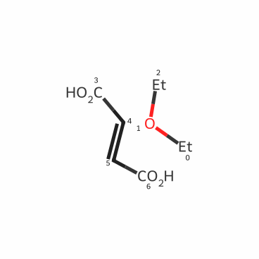 CCOCC.O=C(O)/C=C/C(=O)O